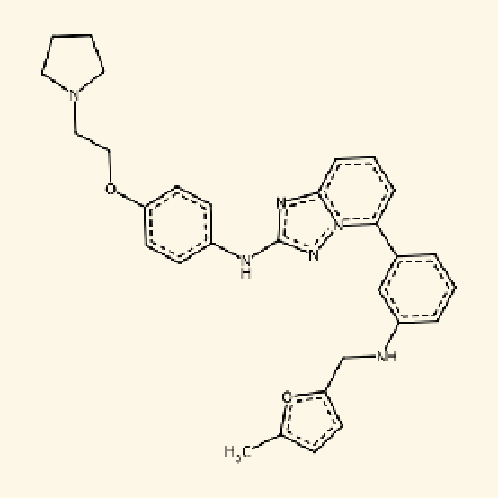 Cc1ccc(CNc2cccc(-c3cccc4nc(Nc5ccc(OCCN6CCCC6)cc5)nn34)c2)o1